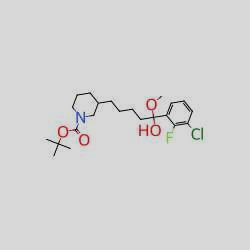 COC(O)(CCCCC1CCCN(C(=O)OC(C)(C)C)C1)c1cccc(Cl)c1F